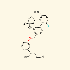 CCC[C@@H](CC(=O)O)c1cccc(OCc2ccc(-c3cc(OC)ccc3F)c([C@H]3CCCC3(C)C)c2)c1